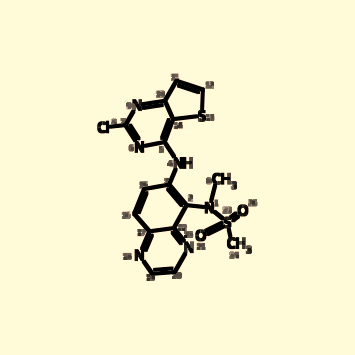 CN(c1c(Nc2nc(Cl)nc3ccsc23)ccc2nccnc12)S(C)(=O)=O